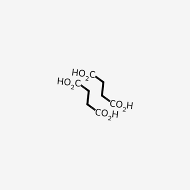 O=C(O)CCC(=O)O.O=C(O)CCC(=O)O